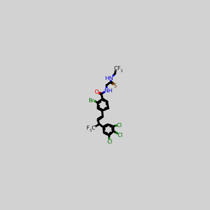 O=C(NCC(=S)NCC(F)(F)F)c1ccc(/C=C/C(c2cc(Cl)c(Cl)c(Cl)c2)C(F)(F)F)cc1Br